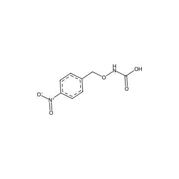 O=C(O)NOCc1ccc([N+](=O)[O-])cc1